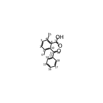 Cc1ccc(I)c(C(=O)O)c1C(=O)c1ccccc1